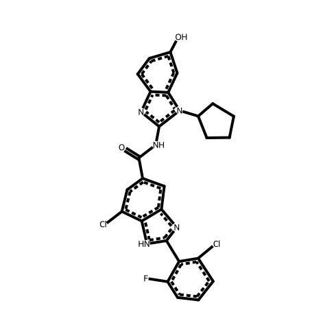 O=C(Nc1nc2ccc(O)cc2n1C1CCCC1)c1cc(Cl)c2[nH]c(-c3c(F)cccc3Cl)nc2c1